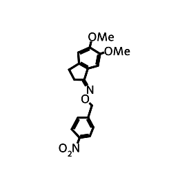 COc1cc2c(cc1OC)/C(=N/OCc1ccc([N+](=O)[O-])cc1)CC2